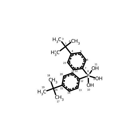 CC(C)(C)c1ccc(P(O)(O)(O)c2ccc(C(C)(C)C)cc2)cc1